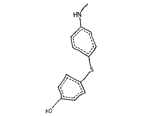 CNc1ccc(Sc2ccc(O)cc2)cc1